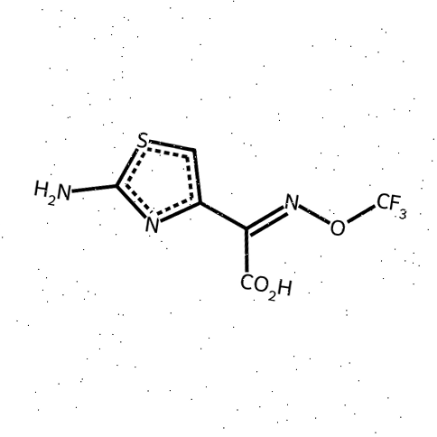 Nc1nc(C(=NOC(F)(F)F)C(=O)O)cs1